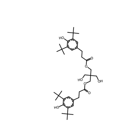 CC(C)(C)c1cc(CCC(=O)OCC(CO)(CO)COC(=O)CCc2cc(C(C)(C)C)c(O)c(C(C)(C)C)c2)cc(C(C)(C)C)c1O